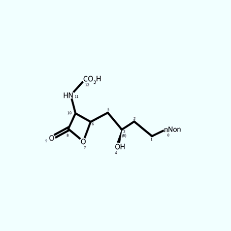 CCCCCCCCCCC[C@@H](O)CC1OC(=O)C1NC(=O)O